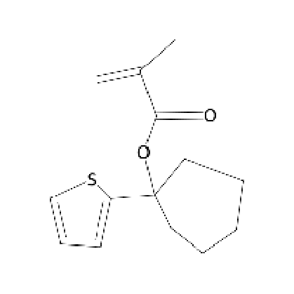 C=C(C)C(=O)OC1(c2cccs2)CCCCC1